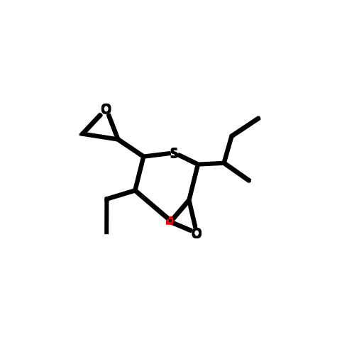 CCC(C)C(SC(C(C)CC)C1CO1)C1CO1